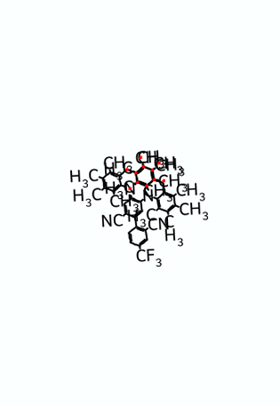 Cc1c(C)c(C)c2c(c1C)Cc1c(C)c(C)c(C)c(C)c1N2c1cc(C#N)c(-c2ccc(C(F)(F)F)cc2C#N)cc1N1c2c(C)c(C)c(C)c(C)c2Cc2c(C)c(C)c(C)c(C)c21